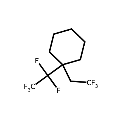 FC(F)(F)CC1(C(F)(F)C(F)(F)F)CCCCC1